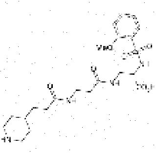 COc1ccccc1S(=O)(=O)N[C@@H](CNC(=O)CCNC(=O)CCC1CCNCC1)C(=O)O